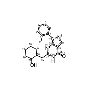 Cc1ccccc1-n1ncc2c(=O)[nH]c(CC3CCCCC3O)nc21